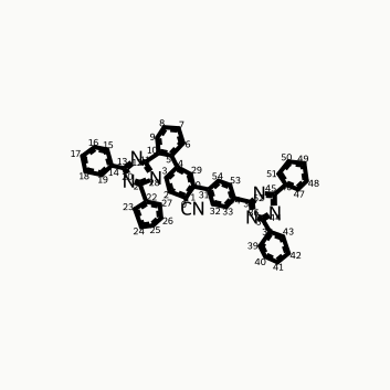 N#Cc1ccc(-c2ccccc2-c2nc(-c3ccccc3)nc(-c3ccccc3)n2)cc1-c1ccc(-c2nc(-c3ccccc3)nc(-c3ccccc3)n2)cc1